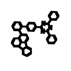 c1ccc(-c2nc(-c3ccccc3)nc(-c3ccc(-c4ccccc4-c4ccc5c6c(cccc46)-c4ccccc4-5)cc3)n2)cc1